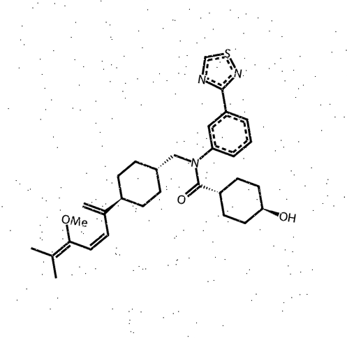 C=C(/C=C\C(OC)=C(C)C)[C@H]1CC[C@H](CN(c2cccc(-c3ncsn3)c2)C(=O)[C@H]2CC[C@H](O)CC2)CC1